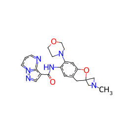 CN1CC2(Cc3cc(NC(=O)c4cnn5cccnc45)c(N4CCOCC4)cc3O2)C1